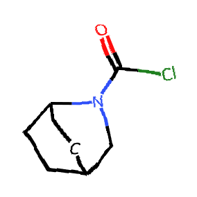 O=C(Cl)N1CC2CCC1CC2